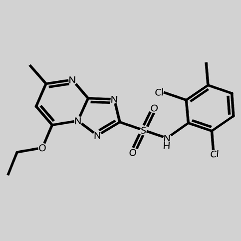 CCOc1cc(C)nc2nc(S(=O)(=O)Nc3c(Cl)ccc(C)c3Cl)nn12